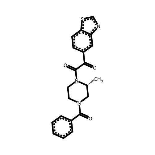 C[C@@H]1CN(C(=O)c2ccccc2)CCN1C(=O)C(=O)c1ccc2scnc2c1